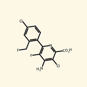 Nc1c(F)c(-c2ccc(Cl)cc2CF)nc(C(=O)O)c1Cl